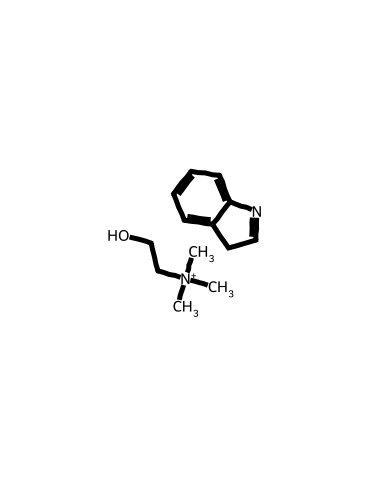 C1=Nc2ccccc2C1.C[N+](C)(C)CCO